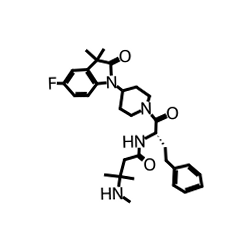 CNC(C)(C)CC(=O)N[C@@H](CCc1ccccc1)C(=O)N1CCC(N2C(=O)C(C)(C)c3cc(F)ccc32)CC1